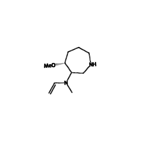 C=CN(C)C1CNCCC[C@H]1OC